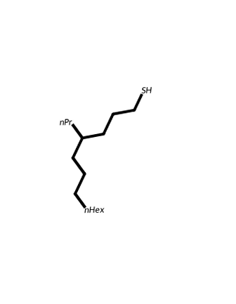 CCCCCCCCCC(CCC)CCCS